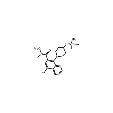 CON(C)C(=O)c1cc(Cl)c2cccnc2c1N1CCC(O[Si](C)(C)C(C)(C)C)CC1